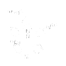 CCCCCCCC=CC1=C(c2cccc(CCCC)c2)[N+](=[N-])C(c2cccc(CCCC)c2)=C1.c1ccc([CH2][Ni][CH2]c2ccccc2)cc1